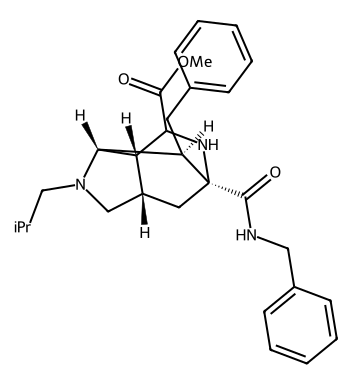 COC(=O)C1N[C@@]2(C(=O)NCc3ccccc3)C[C@@H]3CN(CC(C)C)[C@@H]([C@H]13)[C@H]2Cc1ccccc1